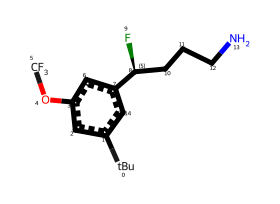 CC(C)(C)c1cc(OC(F)(F)F)cc([C@@H](F)CCCN)c1